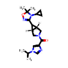 CC(C)n1cnc(C(=O)N2C[C@@H]3C(C4=NOC(C)(C)N4C4CC4)[C@@H]3C2)c1